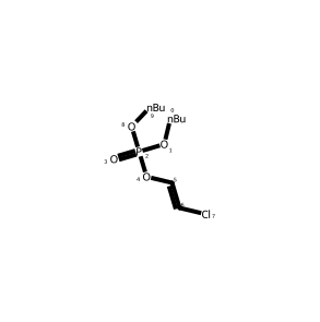 CCCCOP(=O)(O/C=C/Cl)OCCCC